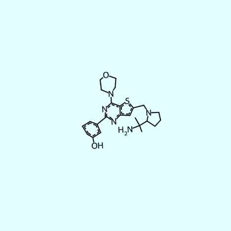 CC(C)(N)C1CCCN1Cc1cc2nc(-c3cccc(O)c3)nc(N3CCOCC3)c2s1